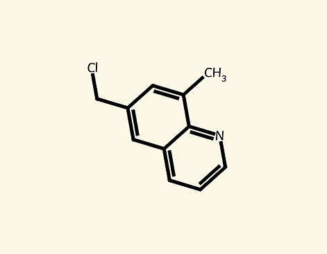 Cc1cc(CCl)cc2cccnc12